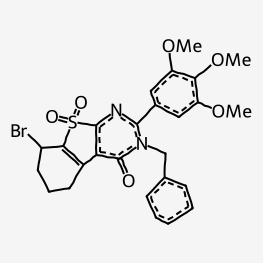 COc1cc(-c2nc3c(c(=O)n2Cc2ccccc2)C2=C(C(Br)CCC2)S3(=O)=O)cc(OC)c1OC